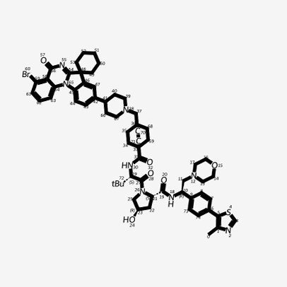 Cc1ncsc1-c1ccc([C@H](CN2CCOCC2)NC(=O)[C@@H]2C[C@@H](O)CN2C(=O)[C@@H](NC(=O)C23CCC(CN4CCC(c5ccc6c(c5)C5(CCCCC5)c5nc(=O)c7c(Br)cccc7n5-6)CC4)(CC2)CC3)C(C)(C)C)cc1